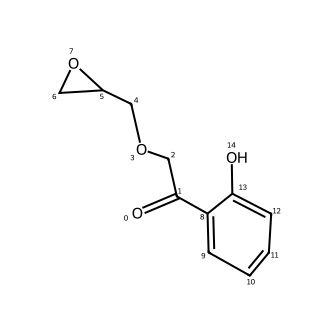 O=C(COCC1CO1)c1ccccc1O